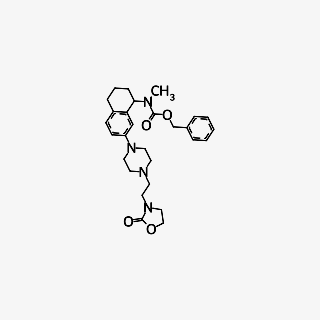 CN(C(=O)OCc1ccccc1)C1CCCc2ccc(N3CCN(CCN4CCOC4=O)CC3)cc21